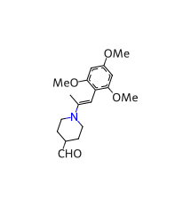 COc1cc(OC)c(C=C(C)N2CCC(C=O)CC2)c(OC)c1